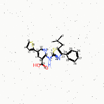 CC(C)Cc1sc(Nc2ncc(-c3cccs3)cc2C(=O)O)nc1-c1ccccc1